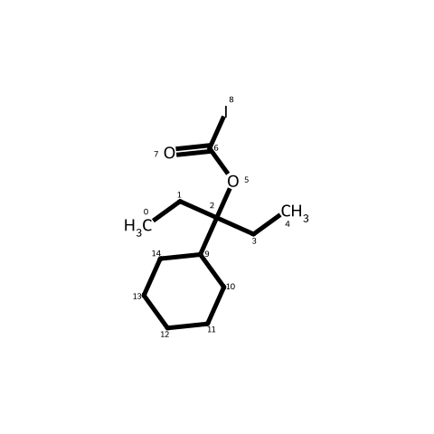 CCC(CC)(OC(=O)I)C1CCCCC1